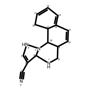 N#CC1=CNN2C1NCC1C=CC3=CC=CCC3C12